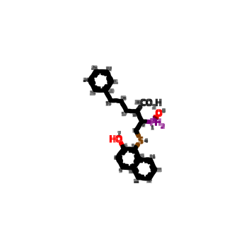 O=[PH2]C(CSc1c(O)ccc2ccccc12)C(CCCc1ccccc1)C(=O)O